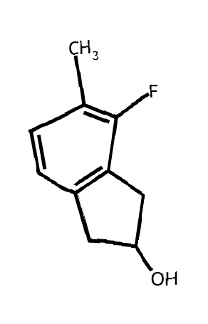 Cc1ccc2c(c1F)CC(O)C2